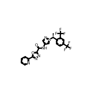 C[C@@H](c1ccc(C(F)(F)F)cc1C(F)(F)F)n1cc(NC(=O)c2nnc(-c3ccccn3)o2)cn1